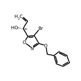 C=C[C@@H](O)c1onc(OCc2ccccc2)c1Br